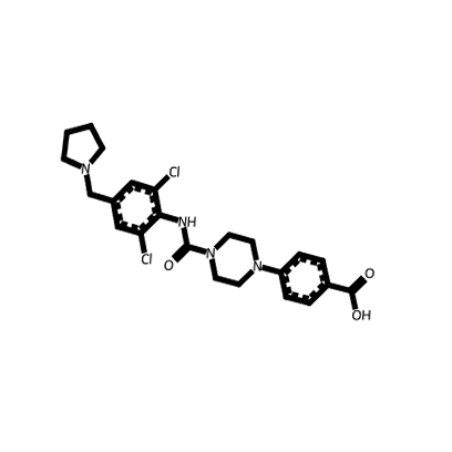 O=C(O)c1ccc(N2CCN(C(=O)Nc3c(Cl)cc(CN4CCCC4)cc3Cl)CC2)cc1